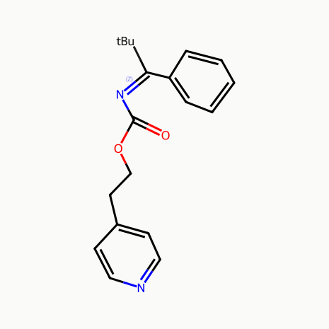 CC(C)(C)/C(=N/C(=O)OCCc1ccncc1)c1ccccc1